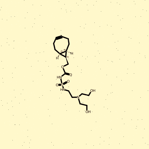 O=C(NS(=O)(=O)NCCN(CCO)CCO)OC[C@@H]1[C@@H]2CCC#CCC[C@@H]21